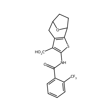 O=C(Nc1sc2c(c1C(=O)O)CC1CCC2O1)c1ccccc1C(F)(F)F